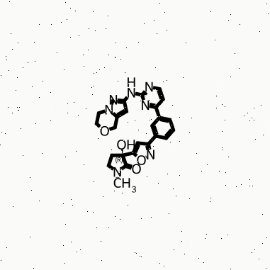 CN1CC[C@@](O)(c2cc(-c3cccc(-c4ccnc(Nc5cc6n(n5)CCOC6)n4)c3)no2)C1=O